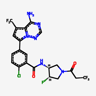 Nc1ncnn2c(-c3ccc(Cl)c(C(=O)N[C@@H]4CN(C(=O)CC(F)(F)F)C[C@@H]4F)c3)cc(C(F)(F)F)c12